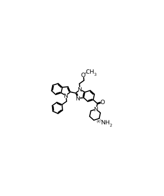 COCCn1c(-c2cc3ccccc3n2Cc2ccccc2)nc2cc(C(=O)N3CCC[C@@H](N)C3)ccc21